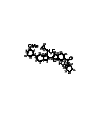 COc1cc(-c2ccc3cc(-c4oc5cc(C(=O)N6CC7CCC6C7C)ccc5c4C)n(CC4CC4)c3c2)ccn1